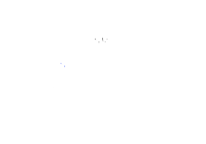 C=Cc1cccnc1NC